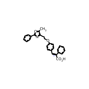 Cc1oc(-c2ccccc2)nc1CCOc1ccc(/C=C(/C(=O)O)c2ccccc2)cc1